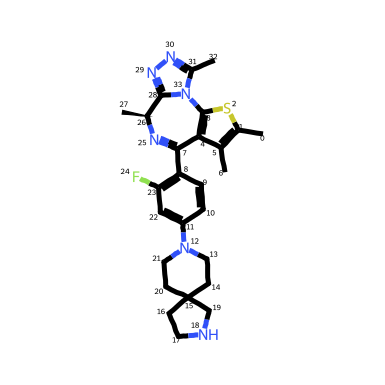 Cc1sc2c(c1C)C(c1ccc(N3CCC4(CCNC4)CC3)cc1F)=N[C@@H](C)c1nnc(C)n1-2